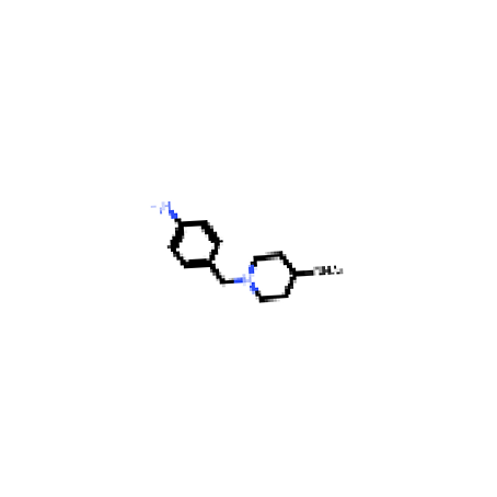 CC(=O)NC1CCN(Cc2ccc(N)cc2)CC1